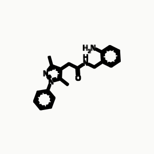 Cc1nn(-c2ccccc2)c(C)c1CC(=O)NCc1ccccc1N